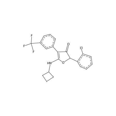 O=C1C(c2cccc(C(F)(F)F)c2)=C(NC2CCC2)OC1c1ccccc1Cl